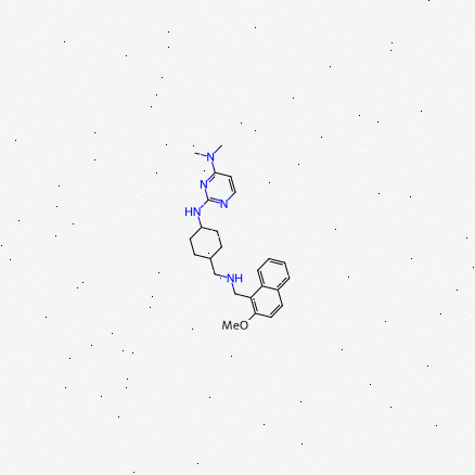 COc1ccc2ccccc2c1CNCC1CCC(Nc2nccc(N(C)C)n2)CC1